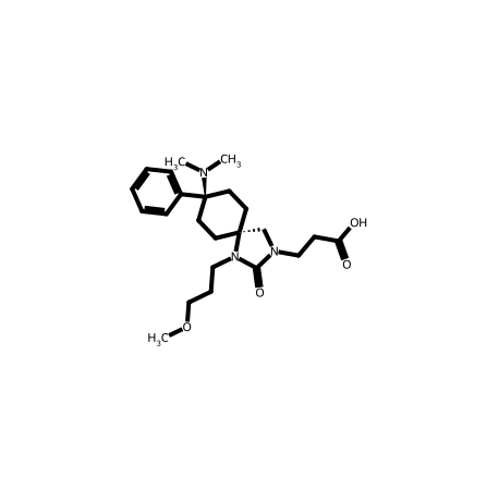 COCCCN1C(=O)N(CCC(=O)O)C[C@]12CC[C@](c1ccccc1)(N(C)C)CC2